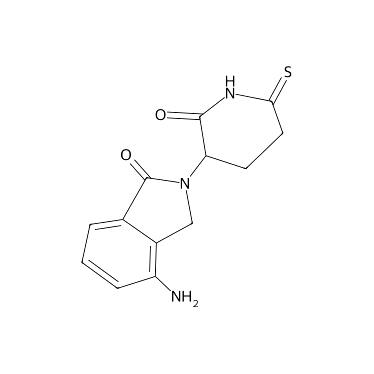 Nc1cccc2c1CN(C1CCC(=S)NC1=O)C2=O